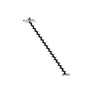 C[Si](C)(Cl)CCCCCCCCCCCCCCCCCCCCCCCCCCCCCCCCCCCCC(=O)O